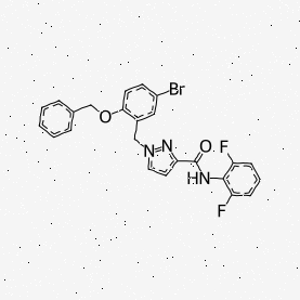 O=C(Nc1c(F)cccc1F)c1ccn(Cc2cc(Br)ccc2OCc2ccccc2)n1